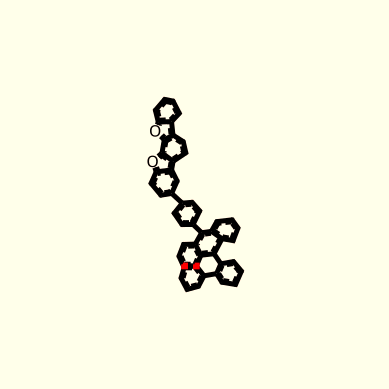 c1ccc(-c2ccccc2-c2c3ccccc3c(-c3ccc(-c4ccc5oc6c(ccc7c8ccccc8oc76)c5c4)cc3)c3ccccc23)cc1